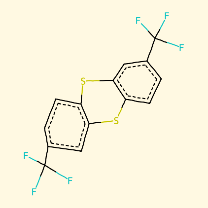 FC(F)(F)c1ccc2c(c1)Sc1ccc(C(F)(F)F)cc1S2